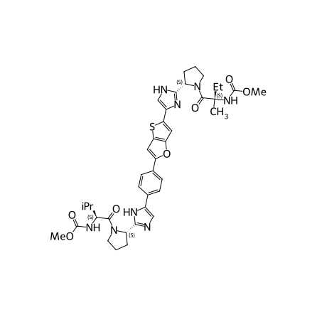 CC[C@](C)(NC(=O)OC)C(=O)N1CCC[C@H]1c1nc(-c2cc3oc(-c4ccc(-c5cnc([C@@H]6CCCN6C(=O)[C@@H](NC(=O)OC)C(C)C)[nH]5)cc4)cc3s2)c[nH]1